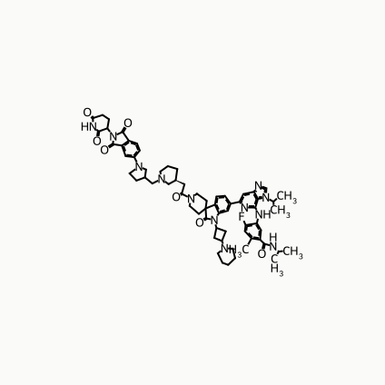 Cc1cc(F)c(Nc2nc(-c3ccc4c(c3)N(C3CC(N5CCCCC5)C3)C(=O)C43CCN(C(=O)C[C@@H]4CCCN(CC5CCN(c6ccc7c(c6)C(=O)N(C6CCC(=O)NC6=O)C7=O)C5)C4)CC3)cc3ncn(C(C)C)c23)cc1C(=O)NC(C)C